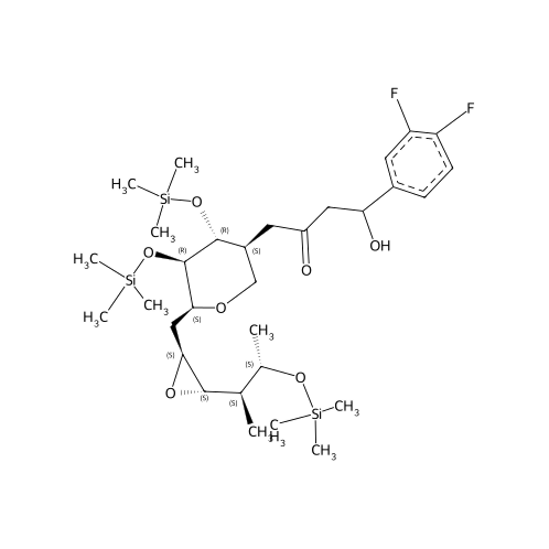 C[C@@H]([C@@H]1O[C@H]1C[C@@H]1OC[C@H](CC(=O)CC(O)c2ccc(F)c(F)c2)[C@@H](O[Si](C)(C)C)[C@@H]1O[Si](C)(C)C)[C@H](C)O[Si](C)(C)C